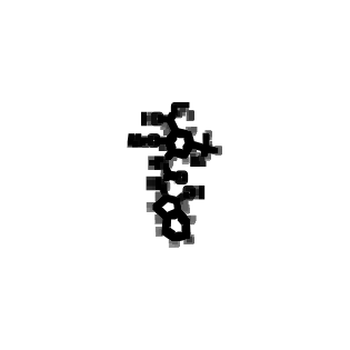 CCC(C)(C)c1cc(NC(=O)N[C@@H]2Cc3ccccc3[C@@H]2O)c(OC)c(C(O)C(F)(F)F)c1